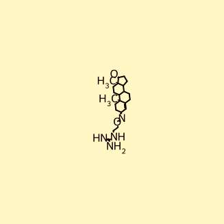 C[C@]12CC/C(=N\OCCNC(=N)N)C=C1CCC1C2CC[C@]2(C)C(=O)CCC12